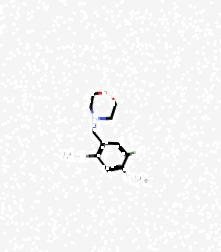 COc1cc(OC)c([CH]N2CCOCC2)cc1Cl